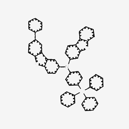 c1ccc(-c2ccc3sc4ccc(N(c5ccc([Si](c6ccccc6)(c6ccccc6)c6ccccc6)cc5)c5ccc6c(c5)oc5ccccc56)cc4c3c2)cc1